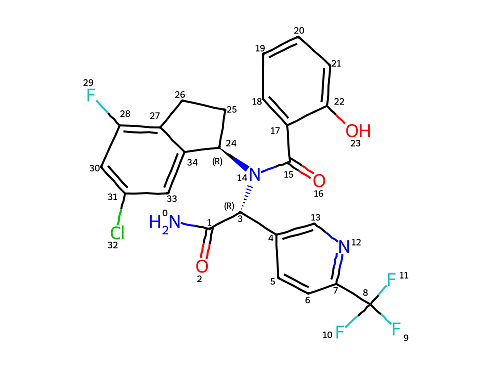 NC(=O)[C@@H](c1ccc(C(F)(F)F)nc1)N(C(=O)c1ccccc1O)[C@@H]1CCc2c(F)cc(Cl)cc21